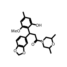 COc1cc(C)cc(O)c1C(CC(=O)N1CC(C)OC(C)C1)c1ccc2c(c1)OCO2